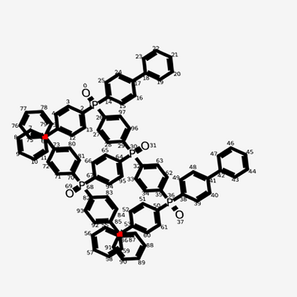 O=P(c1ccc(-c2ccccc2)cc1)(c1ccc(-c2ccccc2)cc1)c1ccc(P(=O)(c2ccc(P(=O)(c3ccc(-c4ccccc4)cc3)c3ccc(-c4ccccc4)cc3)cc2)c2ccc(P(=O)(c3ccc(-c4ccccc4)cc3)c3ccc(-c4ccccc4)cc3)cc2)cc1